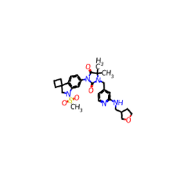 CC1(C)C(=O)N(c2ccc3c(c2)N(S(C)(=O)=O)CC32CCC2)C(=O)N1Cc1ccnc(NCC2CCOC2)c1